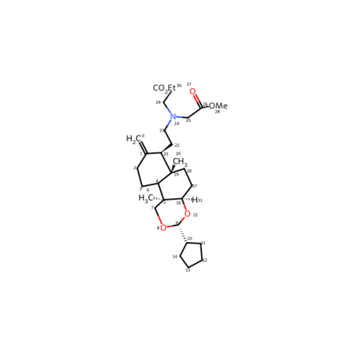 C=C1CCC2[C@]3(C)CO[C@@H](C4CCCC4)O[C@@H]3CC[C@@]2(C)[C@@H]1CCN(CC(=O)OC)CC(=O)OCC